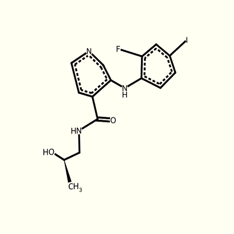 C[C@@H](O)CNC(=O)c1ccncc1Nc1ccc(I)cc1F